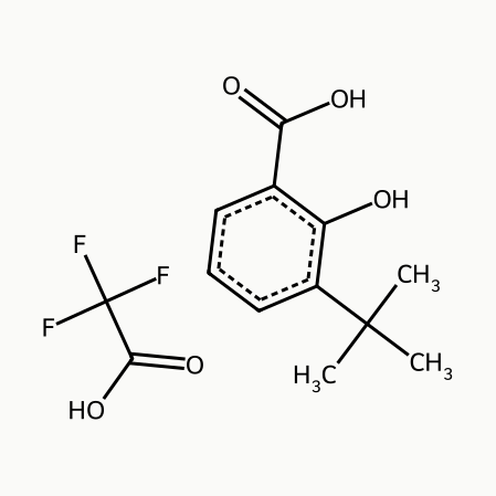 CC(C)(C)c1cccc(C(=O)O)c1O.O=C(O)C(F)(F)F